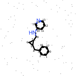 c1ccc(CC2C[C]2CNc2cccnc2)cc1